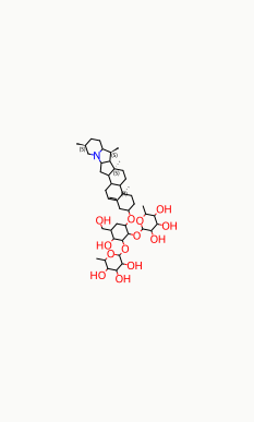 CC1OC(OC2C(OC3CC[C@@]4(C)C(=CCC5C6CC7C([C@H](C)C8CC[C@H](C)CN78)[C@@]6(C)CCC54)C3)CC(CO)C(O)C2OC2OC(C)C(O)C(O)C2O)C(O)C(O)C1O